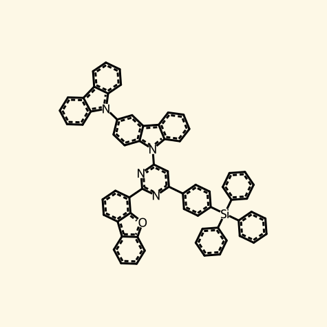 c1ccc([Si](c2ccccc2)(c2ccccc2)c2ccc(-c3cc(-n4c5ccccc5c5cc(-n6c7ccccc7c7ccccc76)ccc54)nc(-c4cccc5c4oc4ccccc45)n3)cc2)cc1